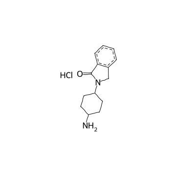 Cl.NC1CCC(N2Cc3ccccc3C2=O)CC1